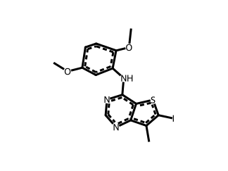 COc1ccc(OC)c(Nc2ncnc3c(C)c(I)sc23)c1